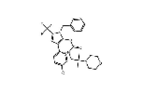 CN(CC(C)(C)N1CCOCC1)C(=O)Oc1c(-c2ccc(Cl)cc2)cc(C(F)(F)F)n1Cc1ccccc1